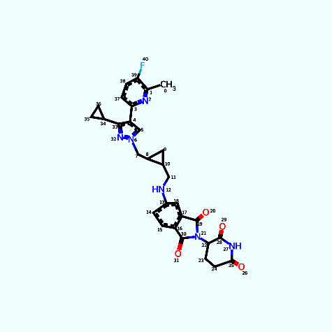 Cc1nc(-c2cn(CC3CC3CNc3ccc4c(c3)C(=O)N(C3CCC(=O)NC3=O)C4=O)nc2C2CC2)ccc1F